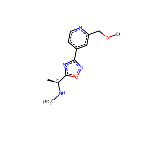 CCOCc1cc(-c2noc([C@H](C)NC(=O)O)n2)ccn1